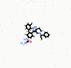 CCC(c1ccccc1)N1CCc2nn(-c3c(C)cccc3C)c(-c3cc(F)c(NC(N)=O)cc3F)c2C1